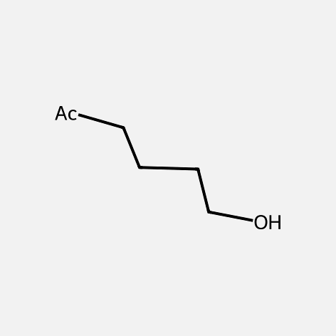 [CH2]C(=O)CCCCO